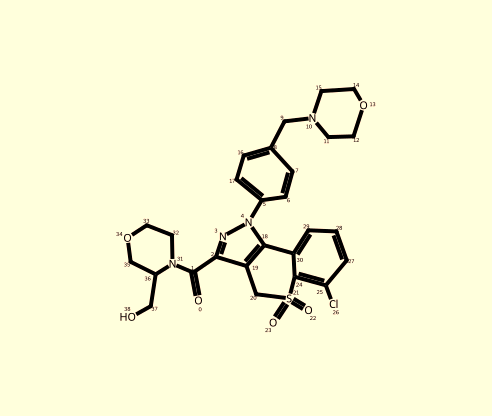 O=C(c1nn(-c2ccc(CN3CCOCC3)cc2)c2c1CS(=O)(=O)c1c(Cl)cccc1-2)N1CCOCC1CO